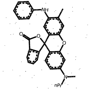 CCCN(C)c1ccc2c(c1)Oc1cc(C)c(Nc3ccccc3)cc1C21OC(=O)c2ccccc21